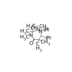 CC(C)C1N(C(C)C)C(C)(C)C(C)(C)N(C)C(=O)C1(C)C